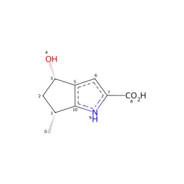 C[C@@H]1C[C@H](O)c2cc(C(=O)O)[nH]c21